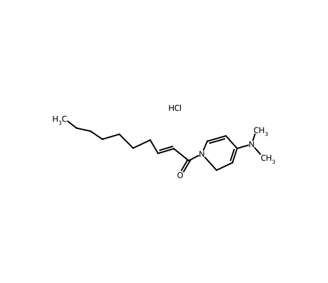 CCCCCCC/C=C/C(=O)N1C=CC(N(C)C)=CC1.Cl